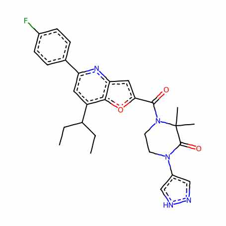 CCC(CC)c1cc(-c2ccc(F)cc2)nc2cc(C(=O)N3CCN(c4cn[nH]c4)C(=O)C3(C)C)oc12